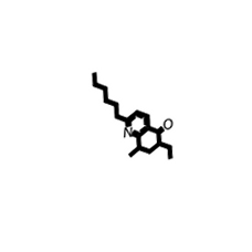 CCCCCCc1ccc2c(n1)C(C)CC(CC)C2=O